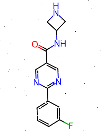 O=C(NC1CNC1)c1cnc(-c2cccc(F)c2)nc1